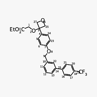 CCOC(=O)COC1(c2ccc(OCc3cccc(-c4ccc(C(F)(F)F)cc4)c3)cc2)COC1